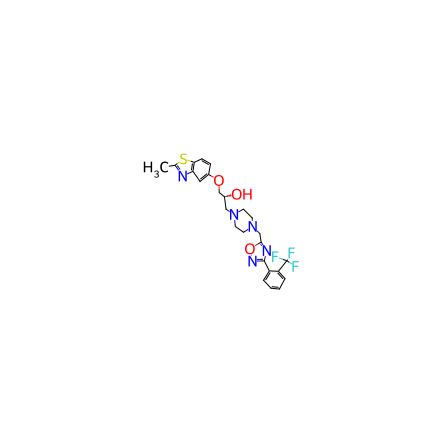 Cc1nc2cc(OC[C@@H](O)CN3CCN(Cc4nc(-c5ccccc5C(F)(F)F)no4)CC3)ccc2s1